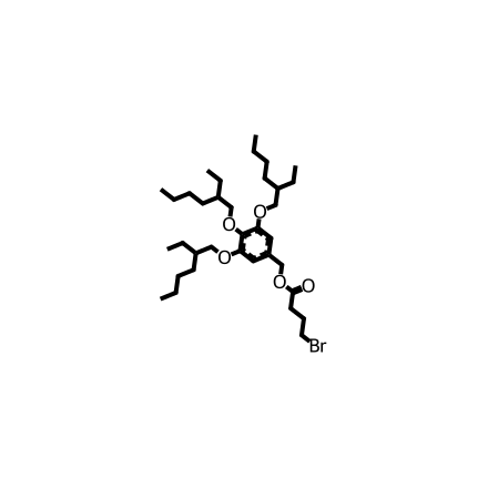 CCCCC(CC)COc1cc(COC(=O)CCCBr)cc(OCC(CC)CCCC)c1OCC(CC)CCCC